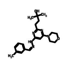 Cc1cccc(/C=N\Nc2cc(N3CCOCC3)nc(CCC(C)(C)O)n2)c1